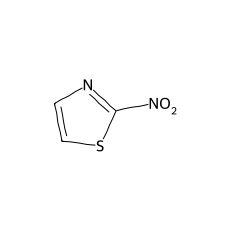 O=[N+]([O-])c1nccs1